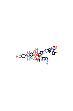 Cc1ccccc1[C@@H]1COCCN1[C@H]1CC2(CCN(c3ccc(C(=O)NS(=O)(=O)c4cc5c(c([N+](=O)[O-])c4)N[C@H](C4CCC(C)(O)CC4)CO5)c(N4c5cc6cc[nH]c6nc5O[C@H]5COCC[C@@H]54)c3)CC2)C1(C)C